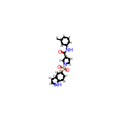 Cc1cccc(NC(=O)c2ccn(S(=O)(=O)c3ccc4[nH]ccc4c3)c2)c1